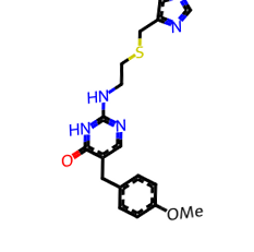 COc1ccc(Cc2cnc(NCCSCc3c[nH]cn3)[nH]c2=O)cc1